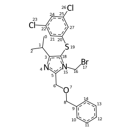 CC(C)c1nc(COCc2ccccc2)n(CBr)c1Sc1cc(Cl)cc(Cl)c1